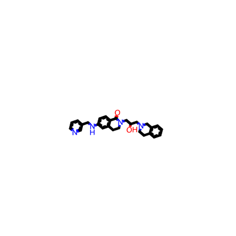 O=C1c2ccc(NCc3cccnc3)cc2CCN1CC(O)CN1CCc2ccccc2C1